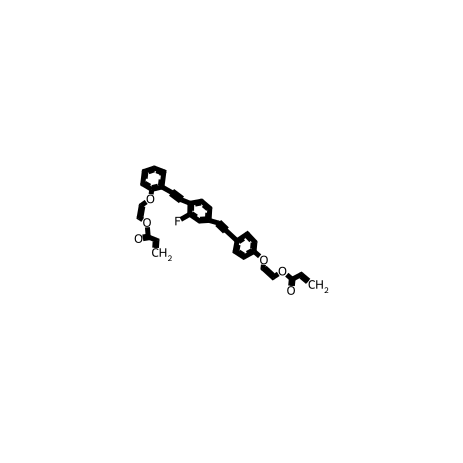 C=CC(=O)O/C=C\Oc1ccc(C#Cc2ccc(C#Cc3ccccc3O/C=C\OC(=O)C=C)c(F)c2)cc1